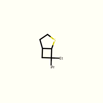 CCC1(C(C)C)CC2CCSC21